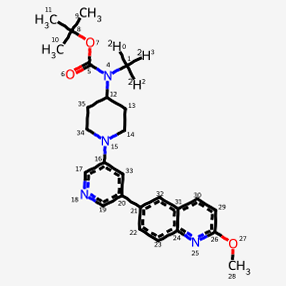 [2H]C([2H])([2H])N(C(=O)OC(C)(C)C)C1CCN(c2cncc(-c3ccc4nc(OC)ccc4c3)c2)CC1